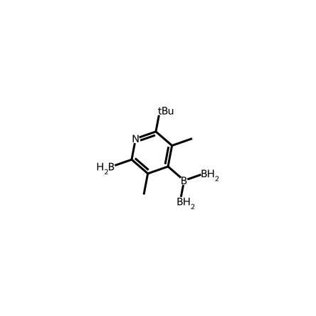 BB(B)c1c(C)c(B)nc(C(C)(C)C)c1C